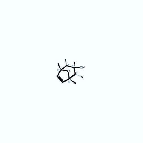 C[C@@H]1[C@](C)(O)[C@H](C)[C@]2(C)C=C[C@@]1(C)O2